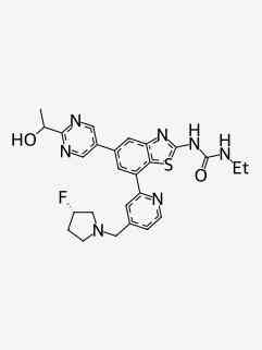 CCNC(=O)Nc1nc2cc(-c3cnc(C(C)O)nc3)cc(-c3cc(CN4CC[C@H](F)C4)ccn3)c2s1